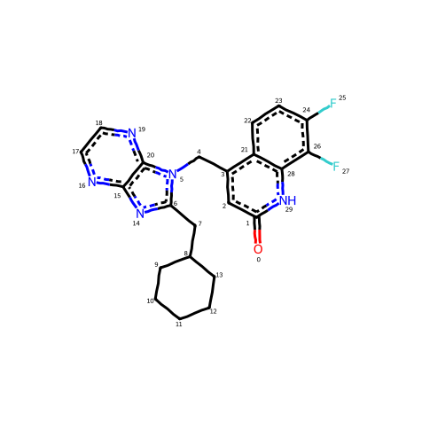 O=c1cc(Cn2c(CC3CCCCC3)nc3nccnc32)c2ccc(F)c(F)c2[nH]1